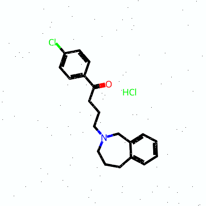 Cl.O=C(CCCN1CCCc2ccccc2C1)c1ccc(Cl)cc1